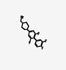 Fc1ccc(-c2c(F)cc(C3CCC(CBr)CC3)cc2F)cc1F